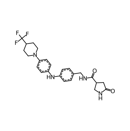 O=C1CC(C(=O)NCc2ccc(Nc3ccc(N4CCC(C(F)(F)F)CC4)cc3)cc2)CN1